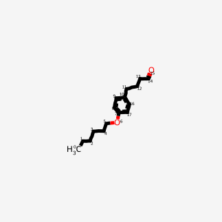 CCCCCCOc1ccc(CCCC=O)cc1